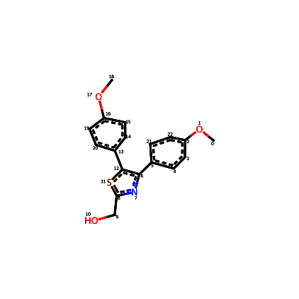 COc1ccc(-c2nc(CO)sc2-c2ccc(OC)cc2)cc1